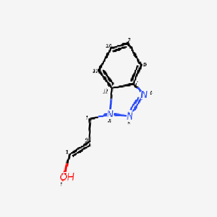 OC=CCn1nnc2ccccc21